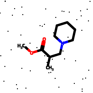 COC(=O)C(C)CN1CCCCC1